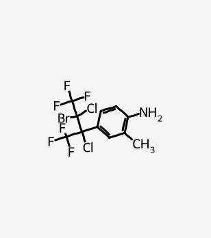 Cc1cc(C(Cl)(C(F)(F)F)C(Cl)(Br)C(F)(F)F)ccc1N